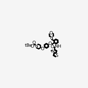 Cn1c(C(=O)Nc2cccc(CN3CCOCC3)c2COc2ccc(OC3CCN(C(=O)OC(C)(C)C)CC3)cc2)cc2sccc21